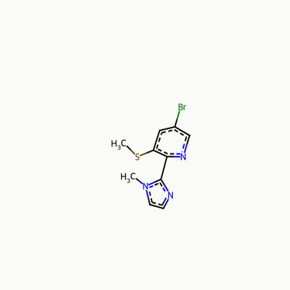 CSc1cc(Br)cnc1-c1nccn1C